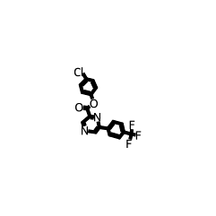 O=C(Oc1ccc(Cl)cc1)c1cncc(-c2ccc(C(F)(F)F)cc2)n1